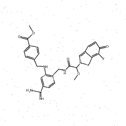 COC(=O)c1ccc(CNc2cc(C(=N)N)ccc2CNC(=O)C(OC)N2C=C3C=CC(=O)C(F)=C3C2)cc1